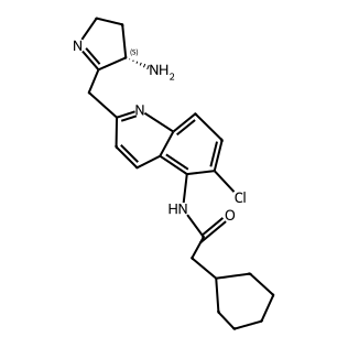 N[C@H]1CCN=C1Cc1ccc2c(NC(=O)CC3CCCCC3)c(Cl)ccc2n1